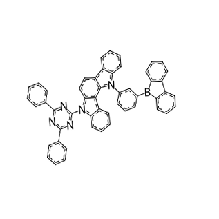 c1ccc(-c2nc(-c3ccccc3)nc(-n3c4ccccc4c4c3ccc3c5ccccc5n(-c5cccc(B6c7ccccc7-c7ccccc76)c5)c34)n2)cc1